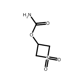 NC(=O)OC1CS(=O)(=O)C1